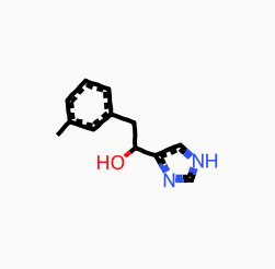 Cc1cccc(CC(O)c2c[nH]cn2)c1